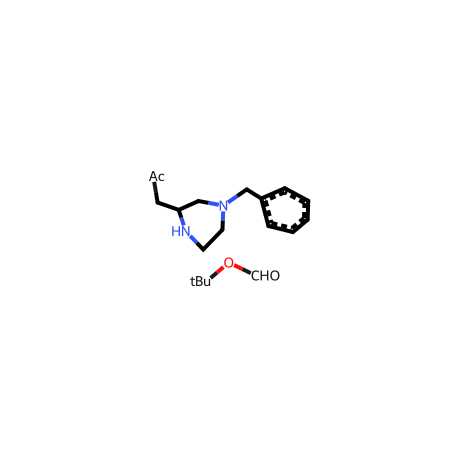 CC(=O)CC1CN(Cc2ccccc2)CCN1.CC(C)(C)OC=O